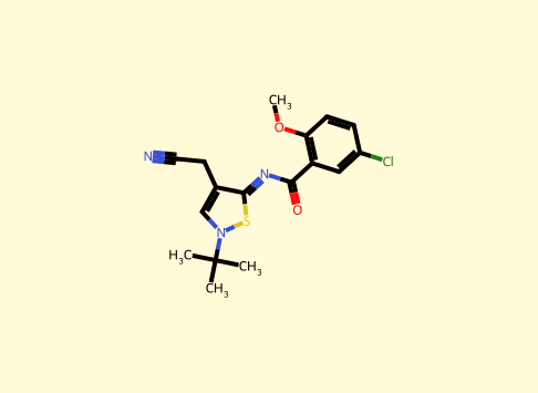 COc1ccc(Cl)cc1C(=O)N=c1sn(C(C)(C)C)cc1CC#N